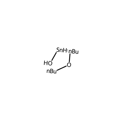 CCCCOCCCC.[OH][SnH]